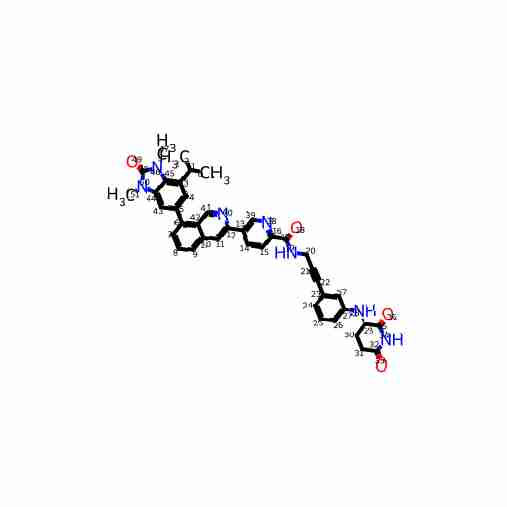 CC(C)c1cc(-c2cccc3cc(-c4ccc(C(=O)NCC#Cc5cccc(N[C@H]6CCC(=O)NC6=O)c5)nc4)ncc23)cc2c1n(C)c(=O)n2C